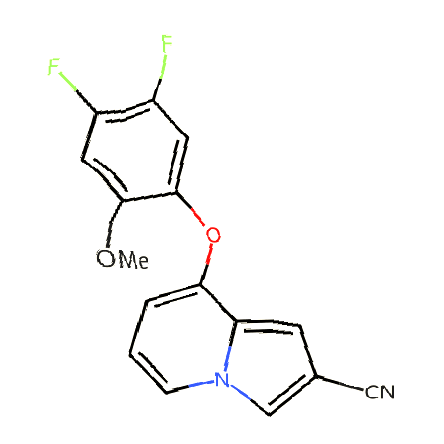 COc1cc(F)c(F)cc1Oc1cccn2cc(C#N)cc12